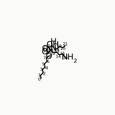 CCCCCCCCOC(=O)[C@@](CCCCN)(NCCCC)C(=O)O